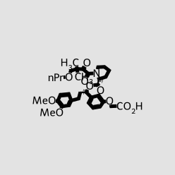 CCCOCC(C)(C)C(=O)C(=O)N1CCCC[C@H]1C(=O)O[C@H](CCc1ccc(OC)c(OC)c1)c1cccc(OCC(=O)O)c1